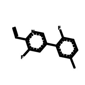 C=Cc1ncc(-c2cc(C)ccc2F)cc1F